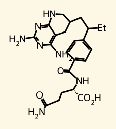 CCC(CC1CNc2nc(N)nc(N)c2C1)c1ccc(C(=O)N[C@@H](CCC(N)=O)C(=O)O)cc1